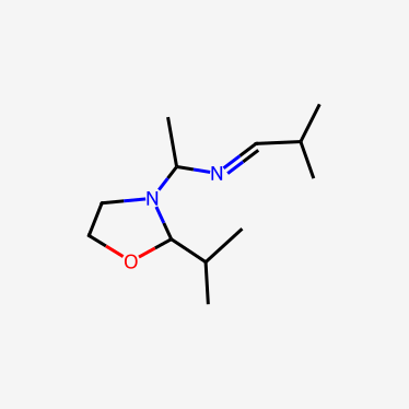 CC(C)C=NC(C)N1CCOC1C(C)C